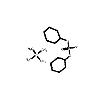 C[P+](C)(C)C.O=P([O-])(OC1CCCCC1)OC1CCCCC1